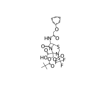 CC(C)(C)C(=O)OCC1(C(=O)O)N2C(=O)C(NC(=O)COc3ccccc3)C2SCN1S(=O)(=O)C(F)(F)F